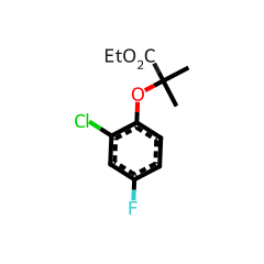 CCOC(=O)C(C)(C)Oc1ccc(F)cc1Cl